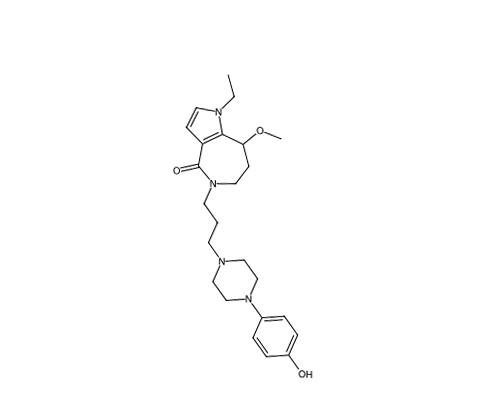 CCn1ccc2c1C(OC)CCN(CCCN1CCN(c3ccc(O)cc3)CC1)C2=O